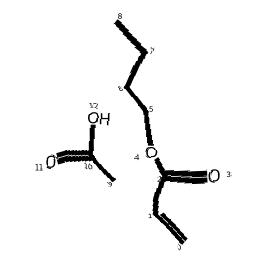 C=CC(=O)OCCCC.CC(=O)O